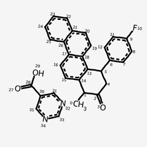 CC1C(=O)CC(c2ccc(F)cc2)c2c1ccc1c2ccc2ccccc21.O=C(O)c1cncnc1